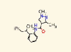 CC1=NN(C)CC1C(=O)Nc1ccccc1C(C)CC(C)C